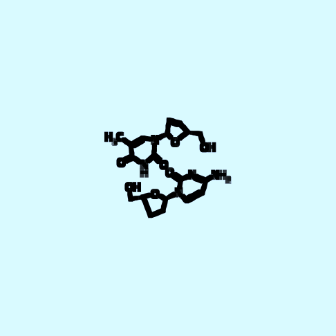 Cc1cn([C@H]2C=C[C@@H](CO)O2)c(=O)[nH]c1=O.Nc1ccn([C@H]2CC[C@@H](CO)O2)c(=O)n1